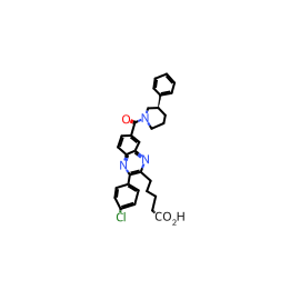 O=C(O)CCCCc1nc2cc(C(=O)N3CCC[C@H](c4ccccc4)C3)ccc2nc1-c1ccc(Cl)cc1